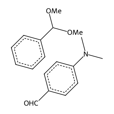 CN(C)c1ccc(C=O)cc1.COC(OC)c1ccccc1